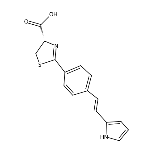 O=C(O)[C@H]1CSC(c2ccc(/C=C/c3ccc[nH]3)cc2)=N1